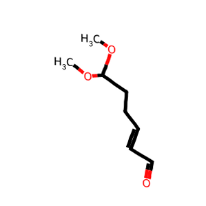 COC(CC/C=C/C=O)OC